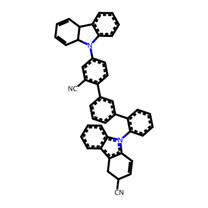 N#Cc1cc(N2c3ccccc3C3C=CC=CC32)ccc1-c1cccc(-c2ccccc2-n2c3c(c4ccccc42)CC(C#N)C=C3)c1